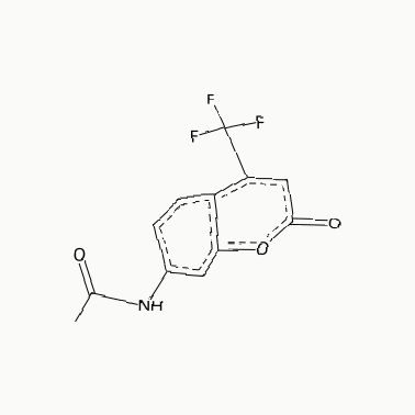 CC(=O)Nc1ccc2c(C(F)(F)F)cc(=O)oc2c1